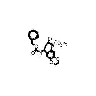 CCOC(=O)N1c2cc3c(cc2C(NC(=O)OCc2ccccc2)CC1CC)OCCO3